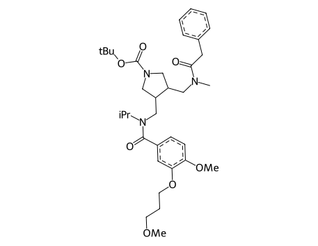 COCCCOc1cc(C(=O)N(CC2CN(C(=O)OC(C)(C)C)CC2CN(C)C(=O)Cc2ccccc2)C(C)C)ccc1OC